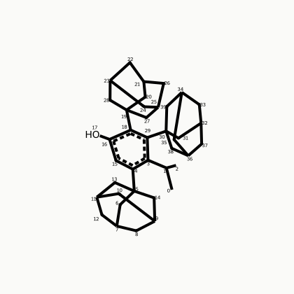 CC(C)c1c(C23CC4CC(CC(C4)C2)C3)cc(O)c(C23CC4CC(CC(C4)C2)C3)c1C12CC3CC(CC(C3)C1)C2